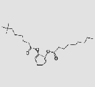 CCCCCCCCC(=O)Oc1ccccc1OC(=O)CCCCCC(C)(C)C